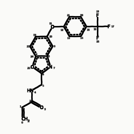 C=CC(=O)NCc1nc2cc(Oc3ccc(C(F)(F)F)cc3)ccc2o1